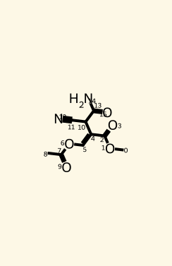 COC(=O)C(=COC(C)=O)C(C#N)C(N)=O